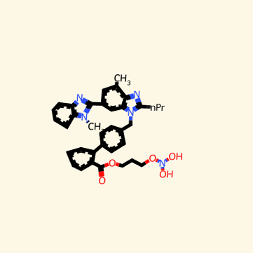 CCCc1nc2c(C)cc(-c3nc4ccccc4n3C)cc2n1Cc1ccc(-c2ccccc2C(=O)OCCCON(O)O)cc1